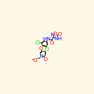 COCCn1cc(Oc2c(Cl)cc(NC(=O)c3noc(=O)[nH]3)cc2Cl)ccc1=O